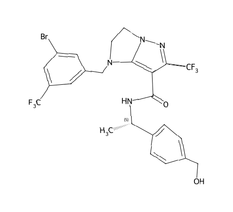 C[C@H](NC(=O)c1c(C(F)(F)F)nn2c1N(Cc1cc(Br)cc(C(F)(F)F)c1)CC2)c1ccc(CO)cc1